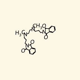 CN(CCCN1C(=O)c2ccccc2C1=O)CCN(C)CCCN1C(=O)c2ccccc2C1=O